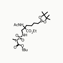 CCOC(=O)C(CCCCB1OC(C)(C)C(C)(C)O1)(CNS(=O)(=O)N(C)C(=O)OC(C)(C)C)NC(C)=O